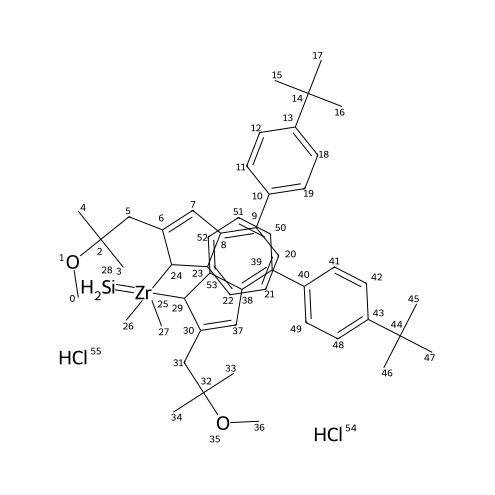 COC(C)(C)CC1=Cc2c(-c3ccc(C(C)(C)C)cc3)cccc2[CH]1[Zr]([CH3])([CH3])(=[SiH2])[CH]1C(CC(C)(C)OC)=Cc2c(-c3ccc(C(C)(C)C)cc3)cccc21.Cl.Cl